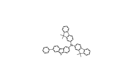 CC1(C)c2ccccc2-c2ccc(N(c3ccc4c(c3)C(C)(C)c3ccccc3-4)c3ccc4sc5cc(-c6ccccc6)ccc5c4c3)cc21